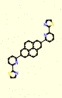 c1cc(-c2cc3ccc4cc(-c5cccc(-c6nccs6)n5)cc5ccc(c2)c3c45)nc(-c2nccs2)c1